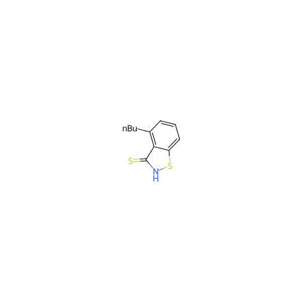 CCCCc1cccc2s[nH]c(=S)c12